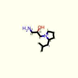 CC(C)CC1CCCN1C[C@H](O)CN